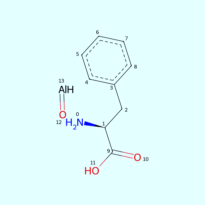 N[C@@H](Cc1ccccc1)C(=O)O.[O]=[AlH]